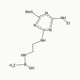 CCNc1nc(NCCNB(C)O)nc(SC)n1